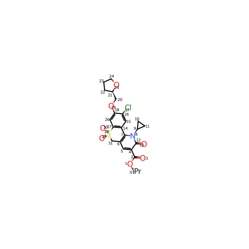 CC(C)OC(=O)c1cc2c(n(C3CC3)c1=O)-c1cc(Cl)c(OC[C@H]3CCCO3)cc1S(=O)(=O)C2